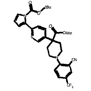 COC(=O)C1(c2ccc(-c3cccn3C(=O)OC(C)(C)C)nc2)CCN(c2ccc(C(F)(F)F)cc2C#N)CC1